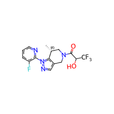 C[C@@H]1CN(C(=O)C(O)C(F)(F)F)Cc2cnn(-c3ncccc3F)c21